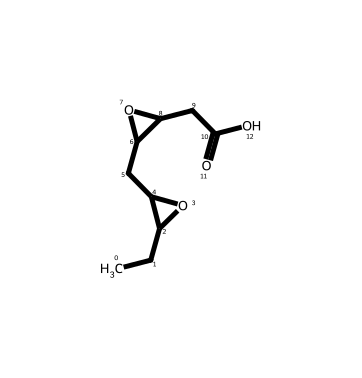 CCC1OC1CC1OC1CC(=O)O